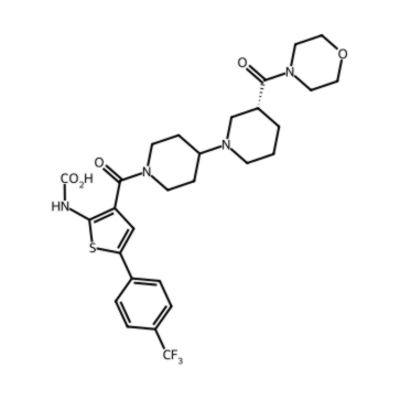 O=C(O)Nc1sc(-c2ccc(C(F)(F)F)cc2)cc1C(=O)N1CCC(N2CCC[C@@H](C(=O)N3CCOCC3)C2)CC1